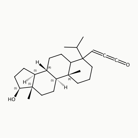 CC(C)C1(C=C=C=O)CCC[C@@]2(C)C1CC[C@H]1[C@@H]3CC[C@H](O)[C@@]3(C)CC[C@@H]12